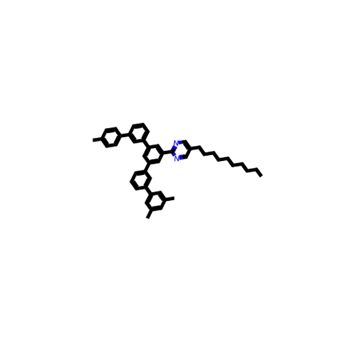 CCCCCCCCCCc1cnc(-c2cc(-c3cccc(-c4ccc(C)cc4)c3)cc(-c3cccc(-c4cc(C)cc(C)c4)c3)c2)nc1